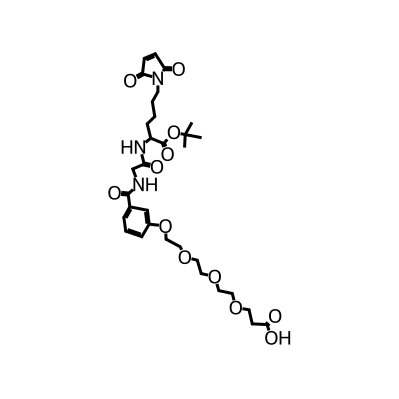 CC(C)(C)OC(=O)C(CCCCN1C(=O)C=CC1=O)NC(=O)CNC(=O)c1cccc(OCCOCCOCCOCCC(=O)O)c1